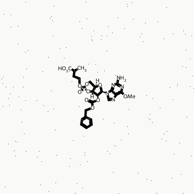 COc1nc(N)nc2c1ncn2[C@@H]1O[C@@H]2COP(=O)(OCCC(C)C(=O)O)O[C@H]2[C@@H]1OC(=O)OCc1ccccc1